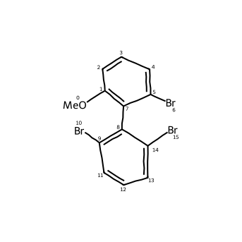 COc1cccc(Br)c1-c1c(Br)cccc1Br